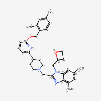 COc1cc(C(F)(F)F)ccc1COc1cccc(C2CCN(Cc3nc4c(OC)cc(C(=O)O)cc4n3CC3CCO3)CC2)n1